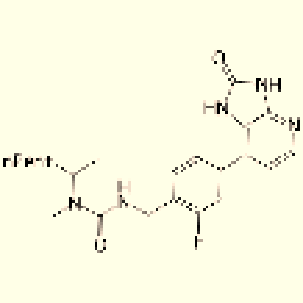 CCCCCC(C)N(C)C(=O)NCc1ccc(-c2ccnc3[nH]c(=O)[nH]c23)cc1F